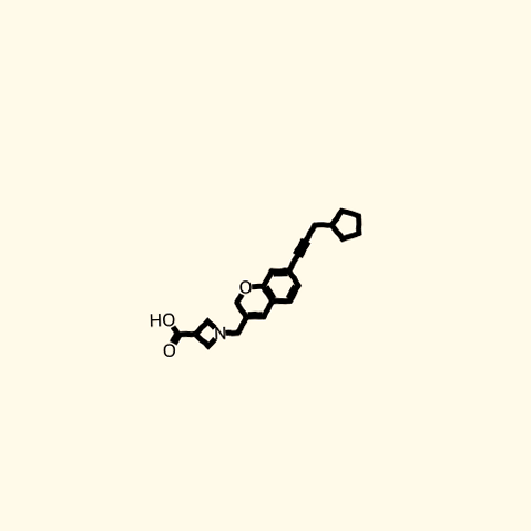 O=C(O)C1CN(CC2=Cc3ccc(C#CCC4CCCC4)cc3OC2)C1